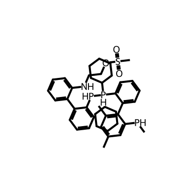 CPc1cc(C)cc(C)c1-c1ccccc1[PH](Pc1ccccc1-c1ccccc1NCCOS(C)(=O)=O)(C1CCCCC1)C1CCCCC1